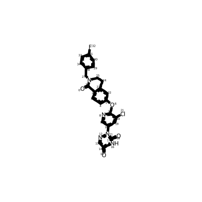 O=C1c2ccc(Oc3ncc(-n4ncc(=O)[nH]c4=O)cc3Cl)cc2CCN1Cc1ccc(F)cc1